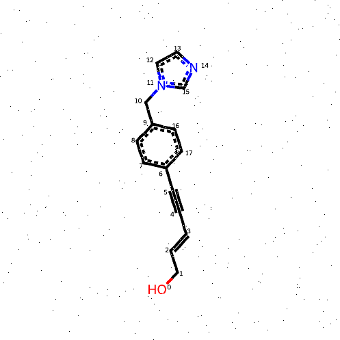 OCC=CC#Cc1ccc(Cn2ccnc2)cc1